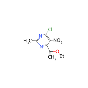 C=C(OCC)c1nc(C)nc(Cl)c1[N+](=O)[O-]